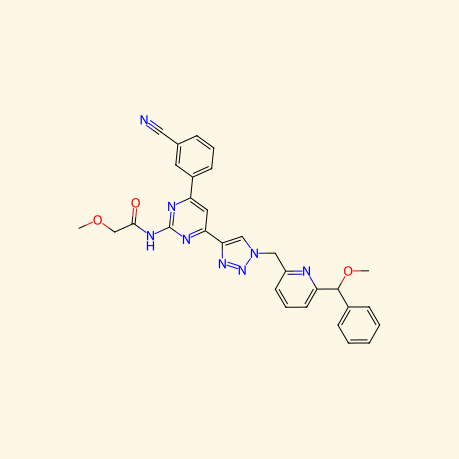 COCC(=O)Nc1nc(-c2cccc(C#N)c2)cc(-c2cn(Cc3cccc(C(OC)c4ccccc4)n3)nn2)n1